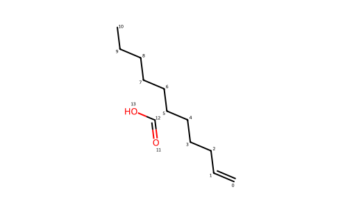 C=CCCCCCCCCC.O=CO